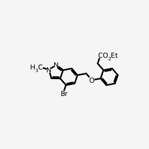 CCOC(=O)Cc1ccccc1OCc1cc(Br)c2cn(C)nc2c1